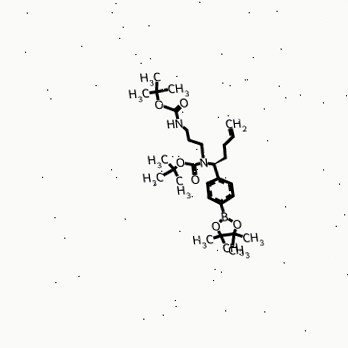 C=CCC[C@@H](c1ccc(B2OC(C)(C)C(C)(C)O2)cc1)N(CCCNC(=O)OC(C)(C)C)C(=O)OC(C)(C)C